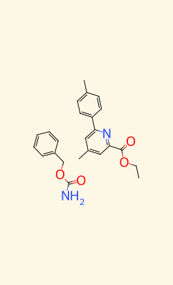 CCOC(=O)c1cc(C)cc(-c2ccc(C)cc2)n1.NC(=O)OCc1ccccc1